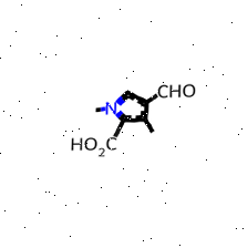 Cc1c(C=O)cn(C)c1C(=O)O